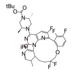 CC(C)C1=C2C(CCC(F)(F)COc3ccc(F)c(F)c3-c3nc4c(cc3F)c(N3C[C@@H](C)N(C(=O)OC(C)(C)C)C[C@@H]3C)nc(=O)n42)C(C)C=N1